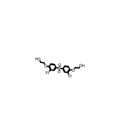 CCc1cc(S(=O)(=O)c2ccc(OCCO)c(CC)c2)ccc1OCCO